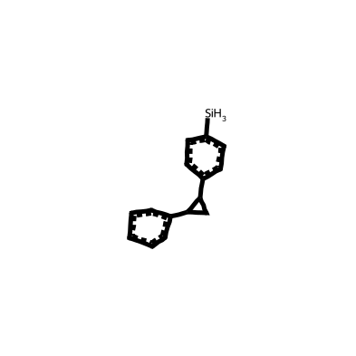 [SiH3]c1ccc(C2CC2c2ccccc2)cc1